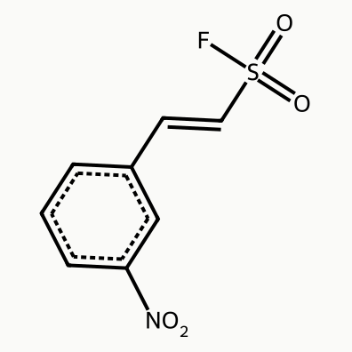 O=[N+]([O-])c1cccc(C=CS(=O)(=O)F)c1